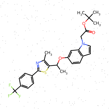 Cc1nc(-c2ccc(C(F)(F)F)cc2)sc1C(C)Oc1ccc2ccn(CC(=O)OC(C)(C)C)c2c1